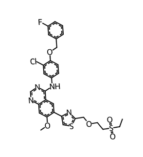 CCS(=O)(=O)CCOCc1nc(-c2cc3c(Nc4ccc(OCc5cccc(F)c5)c(Cl)c4)ncnc3cc2OC)cs1